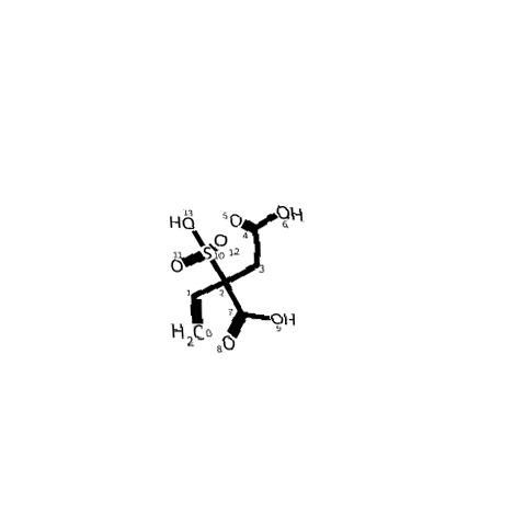 C=CC(CC(=O)O)(C(=O)O)S(=O)(=O)O